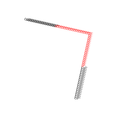 [Cu+2].[Cu+2].[Cu+2].[Cu+2].[Cu+2].[Cu+2].[Cu+2].[Cu+2].[Cu+2].[Cu+2].[Cu+2].[Cu+2].[Cu+2].[Cu+2].[Cu+2].[Cu+2].[Cu+2].[Cu+2].[Cu+2].[Cu+2].[Cu+2].[Cu+2].[Cu+2].[Cu+2].[Cu+2].[Cu+2].[Cu+2].[Cu+2].[Cu+2].[Cu+2].[Cu+2].[Cu+2].[Cu+2].[Cu+2].[Cu+2].[Cu+2].[Cu+2].[O-2].[O-2].[O-2].[O-2].[O-2].[O-2].[O-2].[O-2].[O-2].[O-2].[O-2].[O-2].[O-2].[O-2].[O-2].[O-2].[O-2].[O-2].[O-2].[O-2].[O-2].[O-2].[O-2].[O-2].[O-2].[O-2].[O-2].[O-2].[O-2].[O-2].[O-2].[O-2].[O-2].[O-2].[O-2].[O-2].[O-2].[O-2].[O-2].[O-2]